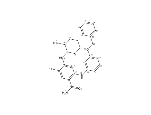 NC(=O)c1cc(F)c(NC2CCCCC2N)nc1Nc1ccnc(OCc2ccccc2)c1